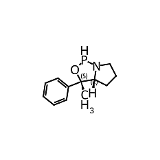 C[C@@]1(c2ccccc2)OPN2CCC[C@@H]21